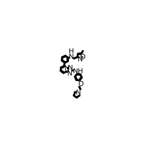 Cc1cc(CNc2cccc(-c3cccc4nc(Nc5ccc(OCCN6CCCC6)cc5)nn34)c2)no1